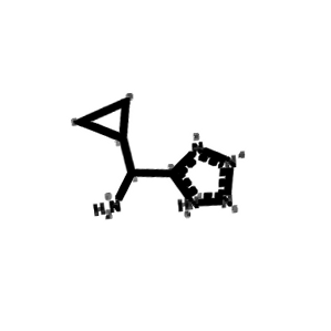 NC(c1nnn[nH]1)C1CC1